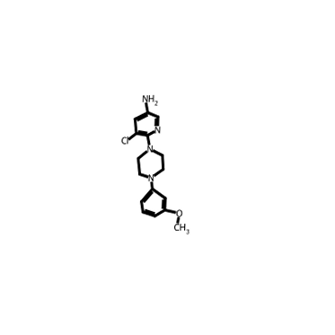 COc1cccc(N2CCN(c3ncc(N)cc3Cl)CC2)c1